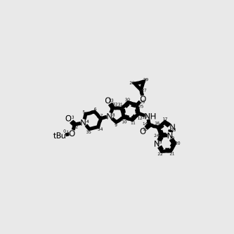 CC(C)(C)OC(=O)N1CCC(N2Cc3cc(NC(=O)c4cnn5cccnc45)c(OC4CC4)cc3C2=O)CC1